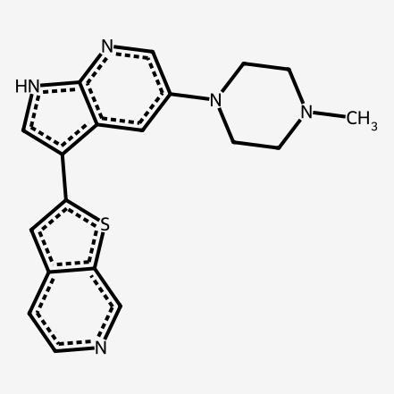 CN1CCN(c2cnc3[nH]cc(-c4cc5ccncc5s4)c3c2)CC1